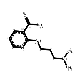 CN(C)CCCNc1ncccc1C(N)=O